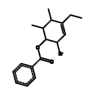 CCC1=CC(Br)C(OC(=O)c2ccccc2)C(C)C1C